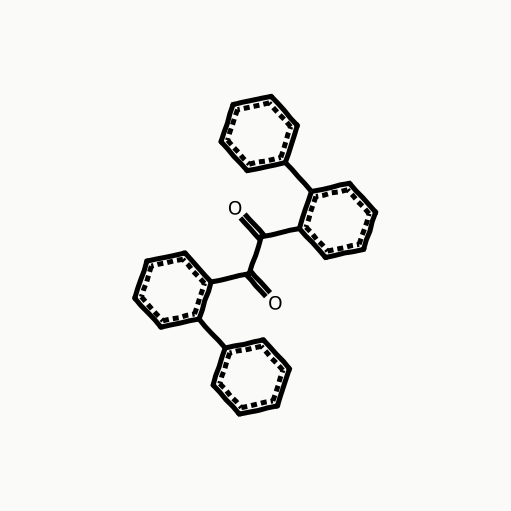 O=C(C(=O)c1ccccc1-c1ccccc1)c1ccccc1-c1ccccc1